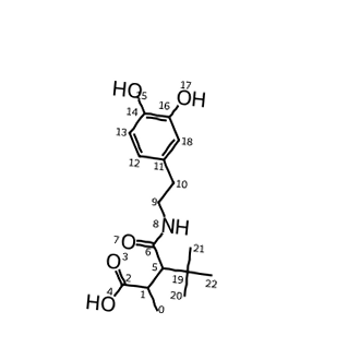 CC(C(=O)O)C(C(=O)NCCc1ccc(O)c(O)c1)C(C)(C)C